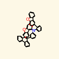 c1cc(-c2cc3ccccc3c3ccccc23)cc(N(c2ccccc2-c2ccc3oc4ccccc4c3c2)c2cccc3oc4ccccc4c23)c1